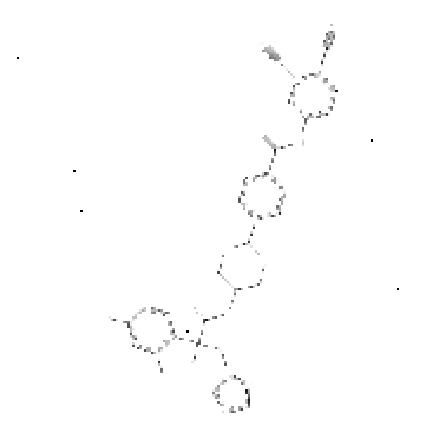 CC(SC1COC(c2ccc(C(=O)Nc3ccc(C#N)c(C#N)c3)cc2)OC1)C(O)(Cn1cncn1)c1ccc(F)cc1F